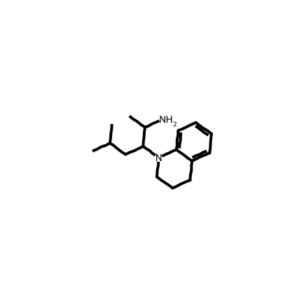 CC(C)CC(C(C)N)N1CCCc2ccccc21